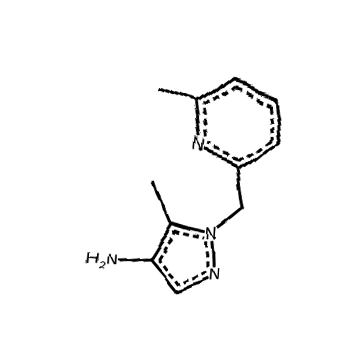 Cc1cccc(Cn2ncc(N)c2C)n1